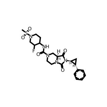 CS(=O)(=O)N1CCC(NC(=O)N2CCN3C(=O)N([C@H]4C[C@@H]4c4ccccc4)C(=O)[C@@H]3C2)C(F)C1